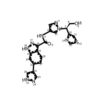 O=C(Nc1cnn([C@@H](CO)c2cscn2)c1)c1n[nH]c2cc(-c3cn[nH]c3)ccc12